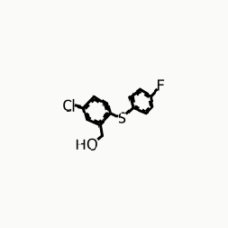 OCc1cc(Cl)ccc1Sc1ccc(F)cc1